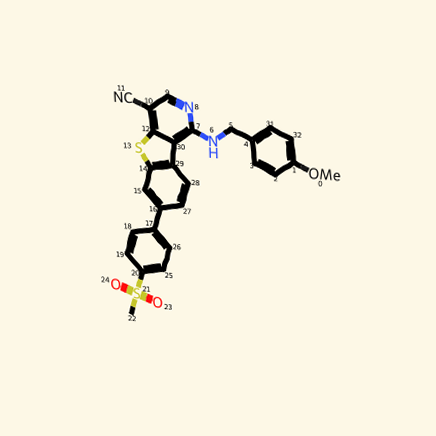 COc1ccc(CNc2ncc(C#N)c3sc4cc(-c5ccc(S(C)(=O)=O)cc5)ccc4c23)cc1